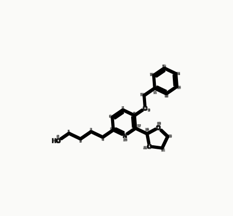 OCCCCc1ccc(OCc2ccccc2)c(C2OCCO2)n1